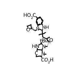 CN1C(C(=O)O)CCC2NC(C(C)(C)C)N(C[C@H]3OCC3CC(C)(C)C3Nc4ccc(C(=O)O)cc4N3C[C@@H]3CCO3)C21